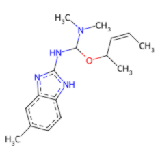 C/C=C\C(C)OC(Nc1nc2cc(C)ccc2[nH]1)N(C)C